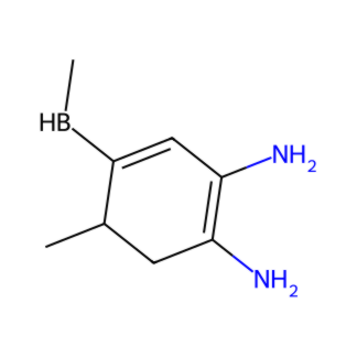 CBC1=CC(N)=C(N)CC1C